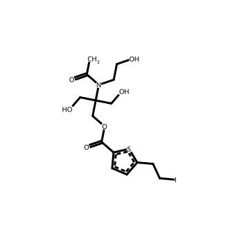 CC(=O)N(CCO)C(CO)(CO)COC(=O)c1ccc(CCI)s1